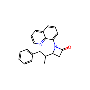 CC(Cc1ccccc1)C1CC(=O)N1c1cccc2cccnc12